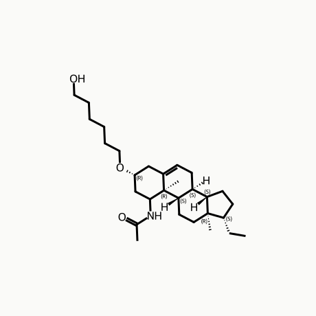 CC[C@H]1CC[C@H]2[C@@H]3CC=C4C[C@@H](OCCCCCCO)CC(NC(C)=O)[C@]4(C)[C@H]3CC[C@]12C